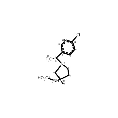 C[C@]1(NC(=O)O)CCN([C@@H](c2ccc(Cl)nc2)C(F)(F)F)C1